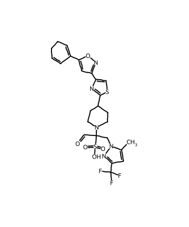 Cc1cc(C(F)(F)F)nn1CC(C=O)(N1CCC(c2nc(-c3cc(C4=CCCC=C4)on3)cs2)CC1)S(=O)(=O)O